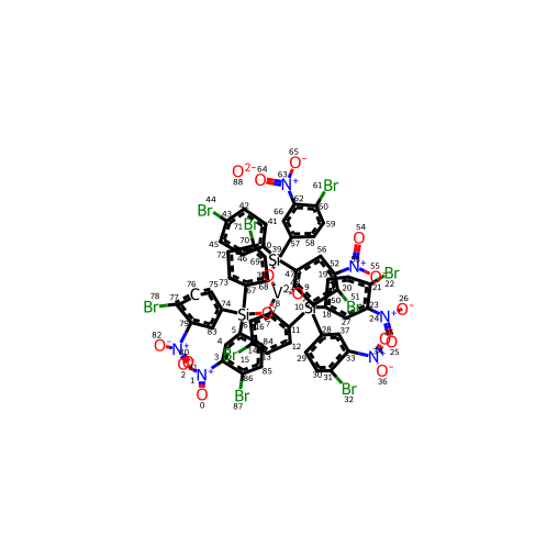 O=[N+]([O-])c1cc([Si]([O][V+2]([O][Si](c2ccc(Br)cc2)(c2ccc(Br)c([N+](=O)[O-])c2)c2ccc(Br)c([N+](=O)[O-])c2)[O][Si](c2ccc(Br)cc2)(c2ccc(Br)c([N+](=O)[O-])c2)c2ccc(Br)c([N+](=O)[O-])c2)(c2ccc(Br)cc2)c2ccc(Br)c([N+](=O)[O-])c2)ccc1Br.[O-2]